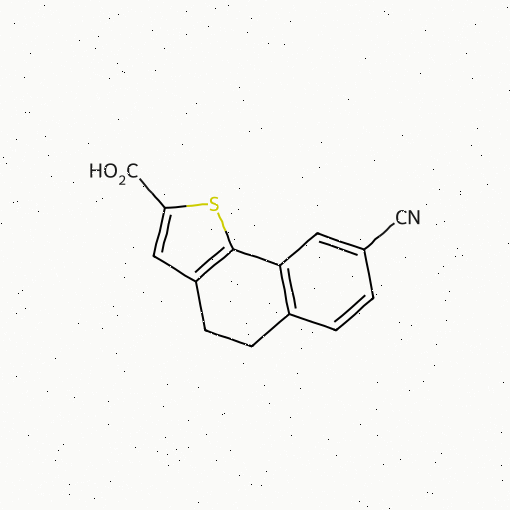 N#Cc1ccc2c(c1)-c1sc(C(=O)O)cc1CC2